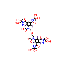 CC(O)(CO)NC(=O)c1c(I)c(C(=O)NC(C)(O)CO)c(I)c(N(CCOCCN(C(=O)CO)c2c(I)c(C(=O)NC(C)(O)CO)c(I)c(C(=O)NC(C)(O)CO)c2I)C(=O)CO)c1I